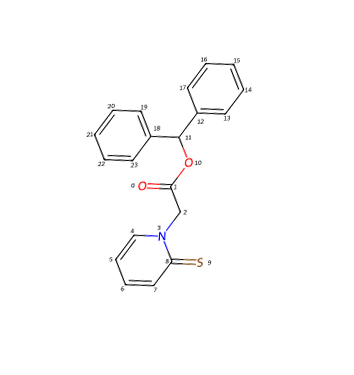 O=C(Cn1ccccc1=S)OC(c1ccccc1)c1ccccc1